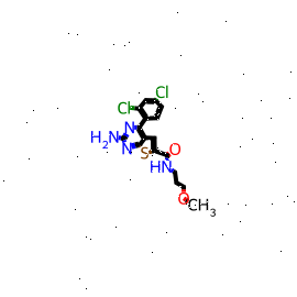 COCCCNC(=O)c1cc2c(-c3ccc(Cl)cc3Cl)nc(N)nc2s1